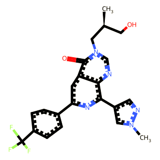 C[C@@H](CO)Cn1cnc2c(-c3cnn(C)c3)nc(-c3ccc(C(F)(F)F)cc3)cc2c1=O